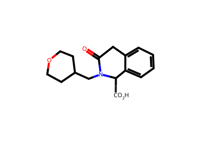 O=C(O)C1c2ccccc2CC(=O)N1CC1CCOCC1